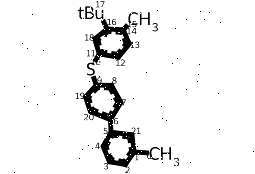 Cc1cccc(-c2ccc(Sc3ccc(C)c(C(C)(C)C)c3)cc2)c1